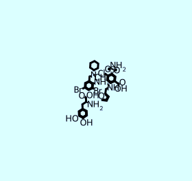 CN(Cc1cc(Br)cc(Br)c1N)C1CCCCC1.NS(=O)(=O)c1cc(C(=O)O)c(NCc2ccco2)cc1Cl.N[C@@H](Cc1ccc(O)c(O)c1)C(=O)O